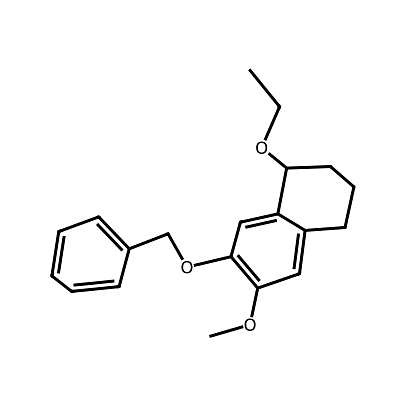 CCOC1CCCc2cc(OC)c(OCc3ccccc3)cc21